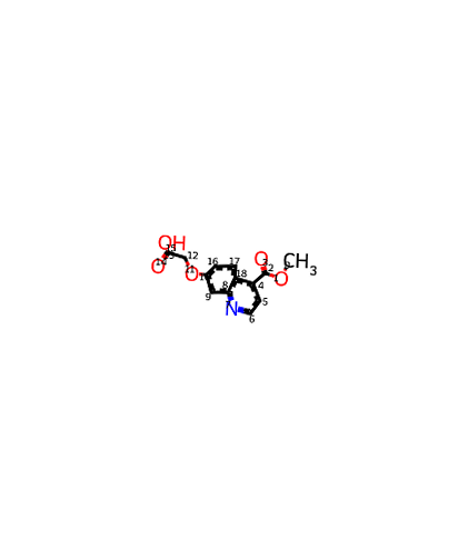 COC(=O)c1ccnc2cc(OCC(=O)O)ccc12